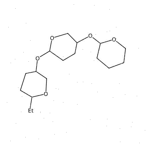 CCC1CCC(OC2CCC(OC3CCCCO3)CO2)CO1